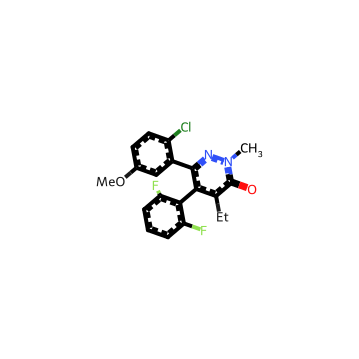 CCc1c(-c2c(F)cccc2F)c(-c2cc(OC)ccc2Cl)nn(C)c1=O